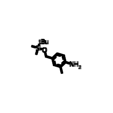 Cc1cc(CO[Si](C)(C)C(C)(C)C)ccc1N